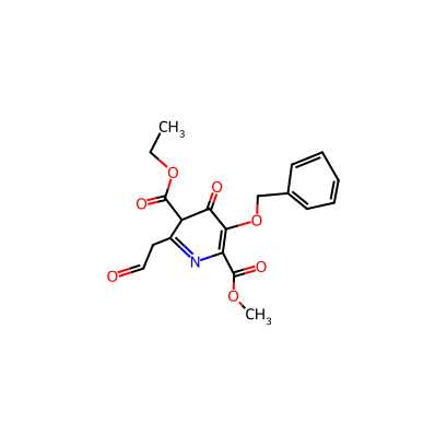 CCOC(=O)C1C(=O)C(OCc2ccccc2)=C(C(=O)OC)N=C1CC=O